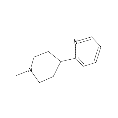 CN1CCC(c2ccccn2)CC1